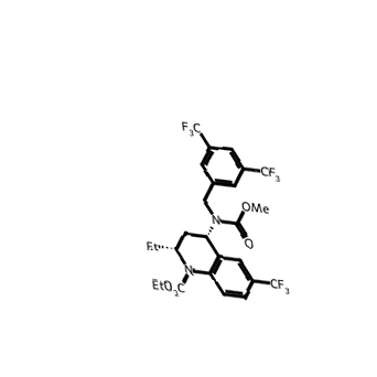 CCOC(=O)N1c2ccc(C(F)(F)F)cc2[C@@H](N(Cc2cc(C(F)(F)F)cc(C(F)(F)F)c2)C(=O)OC)C[C@H]1CC